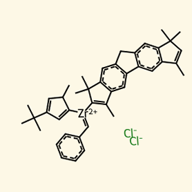 CC1=CC(C)(C)c2cc3c(cc21)-c1cc2c(cc1C3)C(C)(C)[C]([Zr+2](=[CH]c1ccccc1)[C]1=CC(C(C)(C)C)=CC1C)=C2C.[Cl-].[Cl-]